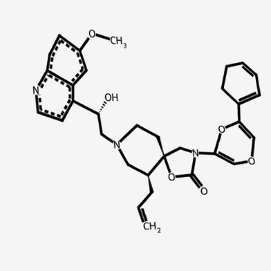 C=CC[C@H]1CN(C[C@@H](O)c2ccnc3ccc(OC)cc23)CC[C@]12CN(C1=COC=C(C3=CC=CCC3)O1)C(=O)O2